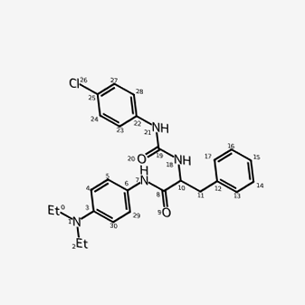 CCN(CC)c1ccc(NC(=O)C(Cc2ccccc2)NC(=O)Nc2ccc(Cl)cc2)cc1